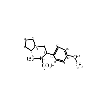 CC(C)(C)N(C(=O)O)C(CN1CCCC1)c1ccc(OC(F)(F)F)cc1